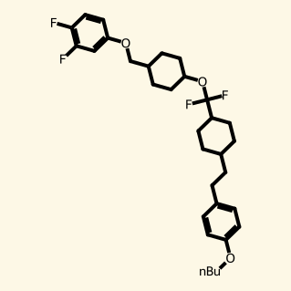 CCCCOc1ccc(CCC2CCC(C(F)(F)OC3CCC(COc4ccc(F)c(F)c4)CC3)CC2)cc1